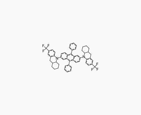 FC(F)(F)c1ccc2c(c1)CC1CCCCC1N2c1ccc2c(-c3ccccc3)c3cc(N4c5ccc(C(F)(F)F)cc5CC5CCCCC54)ccc3c(-c3ccccc3)c2c1